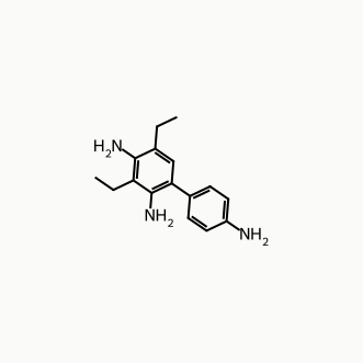 CCc1cc(-c2ccc(N)cc2)c(N)c(CC)c1N